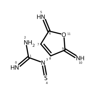 N=C(N)N=S.N=C1C=CC(=N)O1